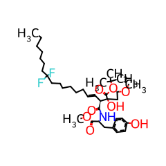 CCCCCCCC(F)(F)CCCCCC/C=C/[C@H](C(=O)NC(Cc1ccc(O)cc1)C(=O)OC)[C@@](O)(CCOC)C(=O)OC(C)(C)C